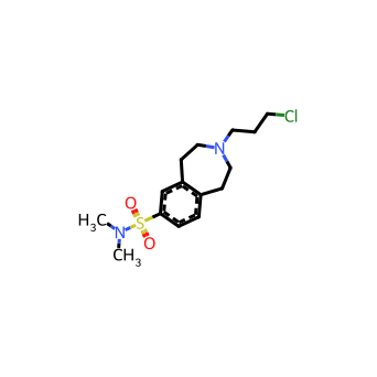 CN(C)S(=O)(=O)c1ccc2c(c1)CCN(CCCCl)CC2